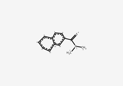 CN(C)C(=S)c1ccc2ccccc2c1